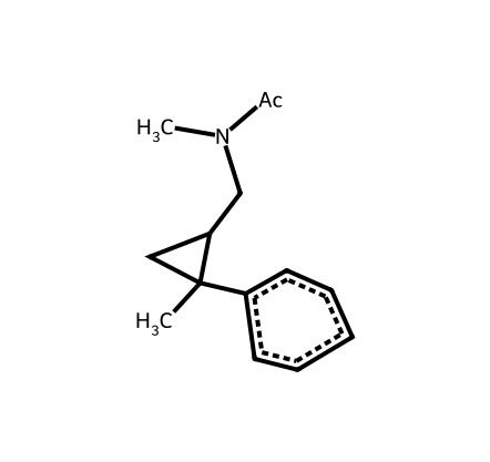 CC(=O)N(C)CC1CC1(C)c1ccccc1